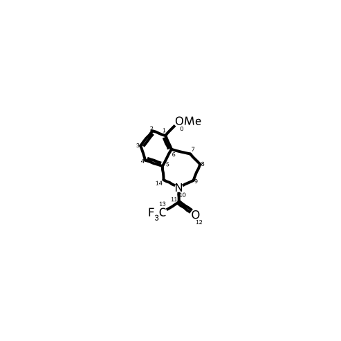 COc1cccc2c1CCCN(C(=O)C(F)(F)F)C2